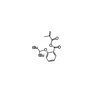 C=C(C)C(=O)OC(=O)c1ccccc1OC(C(C)(C)C)C(C)(C)C